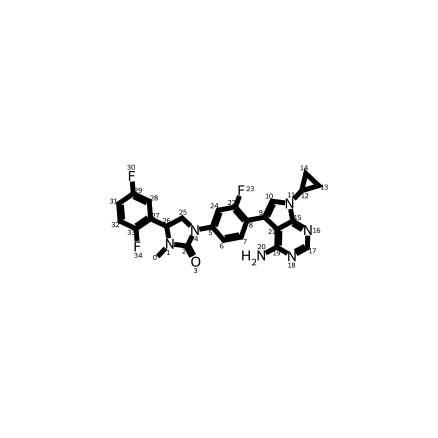 CN1C(=O)N(c2ccc(-c3cn(C4CC4)c4ncnc(N)c34)c(F)c2)CC1c1cc(F)ccc1F